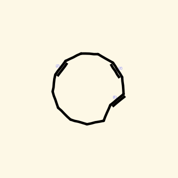 C1=C\CC/C=C\CCCCC/C=C/1